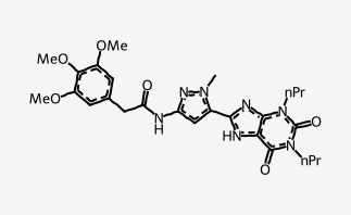 CCCn1c(=O)c2[nH]c(-c3cc(NC(=O)Cc4cc(OC)c(OC)c(OC)c4)nn3C)nc2n(CCC)c1=O